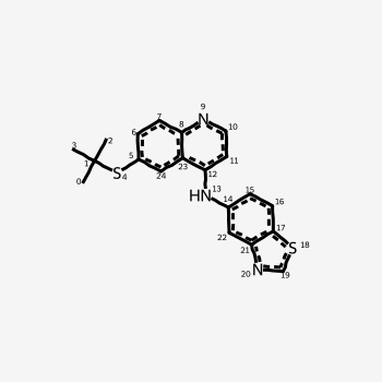 CC(C)(C)Sc1ccc2nccc(Nc3ccc4scnc4c3)c2c1